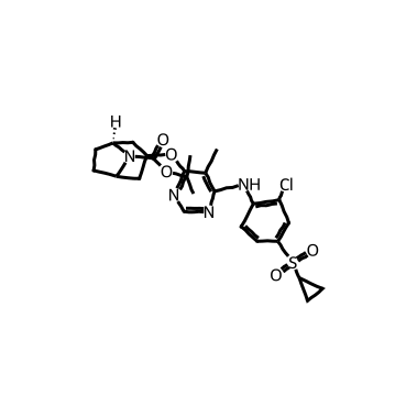 Cc1c(Nc2ccc(S(=O)(=O)C3CC3)cc2Cl)ncnc1OC1CC2CC[C@@H](C1)N2C(=O)OC(C)C